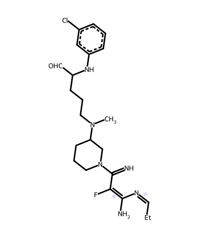 CC/C=N\C(N)=C(\F)C(=N)N1CCCC(N(C)CCCC(C=O)Nc2cccc(Cl)c2)C1